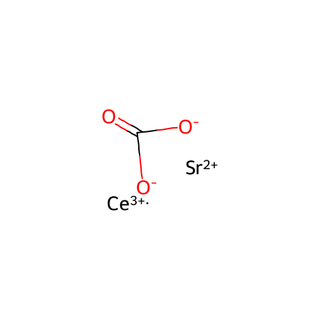 O=C([O-])[O-].[Ce+3].[Sr+2]